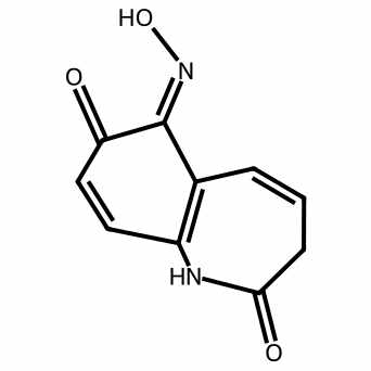 O=C1CC=CC2=C(C=CC(=O)C2=NO)N1